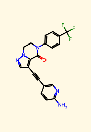 Nc1ccc(C#Cc2cnn3c2C(=O)N(c2ccc(C(F)(F)F)cc2)CC3)cn1